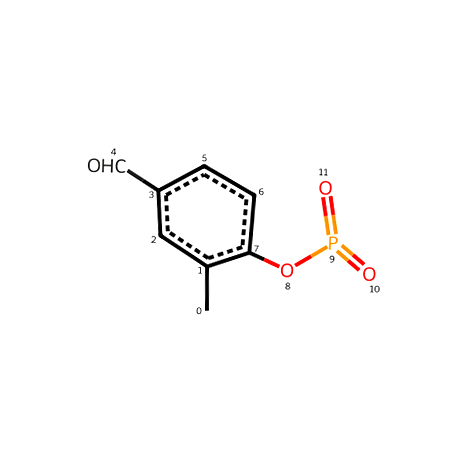 Cc1cc(C=O)ccc1OP(=O)=O